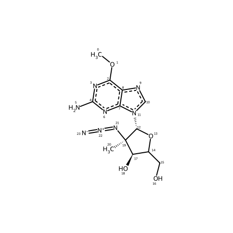 COc1nc(N)nc2c1ncn2[C@@H]1OC(CO)[C@@H](O)[C@@]1(C)N=[N+]=[N-]